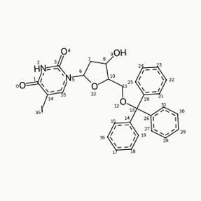 O=c1[nH]c(=O)n(C2CC(O)C(COC(c3ccccc3)(c3ccccc3)c3ccccc3)O2)cc1I